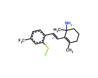 CC1=C(/C=C/c2ccc(C(F)(F)F)cc2SF)C(C)(N)CCC1